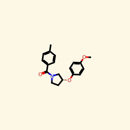 COc1ccc(O[C@@H]2CCN(C(=O)c3ccc(C)cc3)C2)cc1